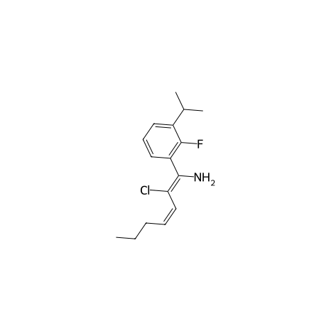 CCC/C=C\C(Cl)=C(/N)c1cccc(C(C)C)c1F